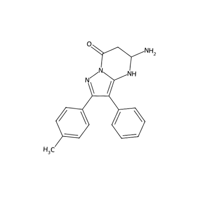 Cc1ccc(-c2nn3c(c2-c2ccccc2)NC(N)CC3=O)cc1